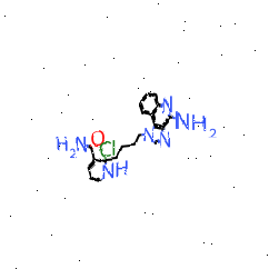 NC(=O)C1=CC=CNC1(Cl)CCCCn1cnc2c(N)nc3ccccc3c21